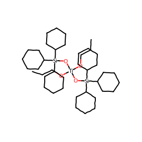 CCC[O][Ti]([O]CCC)([O][Si](C1CCCCC1)(C1CCCCC1)C1CCCCC1)[O][Si](C1CCCCC1)(C1CCCCC1)C1CCCCC1